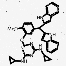 COc1ccc(C(c2cc3ccccc3[nH]2)c2cc3ccccc3[nH]2)cc1Oc1nc(NC2CC2)nc(NC2CC2)n1